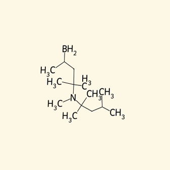 BC(C)CC(C)(C)N(C)C(C)(C)CC(C)C